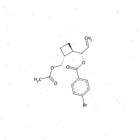 C=C[C@H](OC(=O)c1ccc(Br)cc1)[C@@H]1CC[C@H]1COC(C)=O